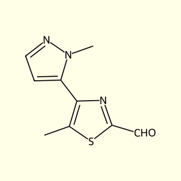 Cc1sc(C=O)nc1-c1ccnn1C